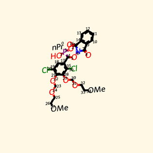 CCCP(=O)(O)C(ON1C(=O)c2ccccc2C1=O)c1cc(Cl)c(OCOCCOC)c(OCOCCOC)c1Cl